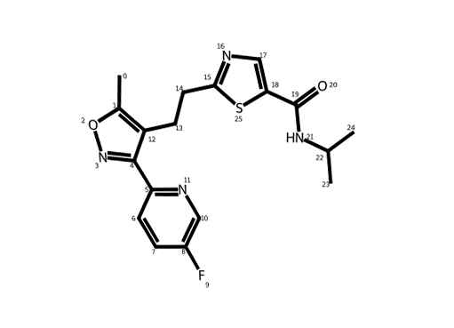 Cc1onc(-c2ccc(F)cn2)c1CCc1ncc(C(=O)NC(C)C)s1